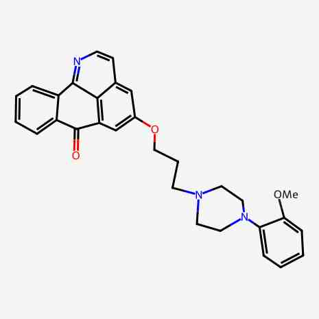 COc1ccccc1N1CCN(CCCOc2cc3c4c(nccc4c2)-c2ccccc2C3=O)CC1